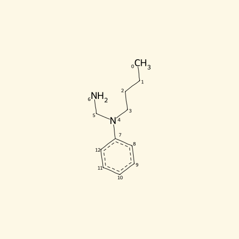 CCCCN(CN)c1ccccc1